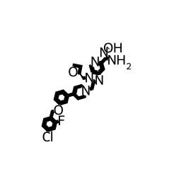 N/C(=N\O)c1cc2nc(CN3CC=C(c4cccc(OCc5ccc(Cl)cc5F)c4)CC3)n(C[C@@H]3CCO3)c2cn1